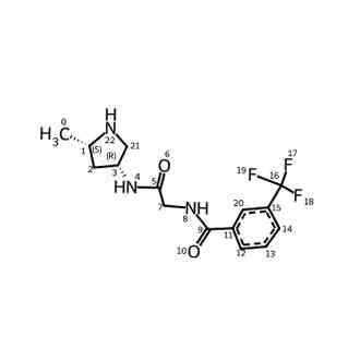 C[C@H]1C[C@@H](NC(=O)CNC(=O)c2cccc(C(F)(F)F)c2)CN1